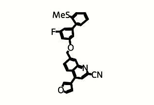 CSc1ccccc1-c1cc(F)cc(OCc2ccc3c(-c4ccoc4)cc(C#N)nc3c2)c1